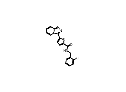 O=C(NCc1ccccc1Cl)c1ccc(-c2nnc3ccccn23)s1